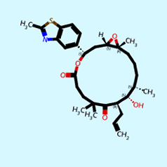 C=CC[C@H]1C(=O)C(C)(C)CCC(=O)O[C@H](c2ccc3sc(C)nc3c2)C[C@@H]2O[C@]2(C)CCC[C@H](C)[C@@H]1O